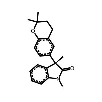 CC1(C)CCc2cc([C@]3(C)C(=O)N(I)c4ccccc43)ccc2O1